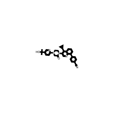 CC(C)(O)c1ccc(N2CCN(c3cnc4c(-c5ccc(C#N)cc5)cccc4c3C3CC3)C(=O)C2)nc1